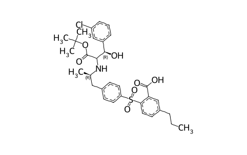 CCCc1ccc(S(=O)(=O)c2ccc(C[C@@H](C)NC(C(=O)OC(C)(C)C)[C@H](O)c3cccc(Cl)c3)cc2)c(C(=O)O)c1